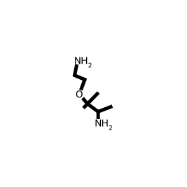 CC(N)C(C)(C)OCCN